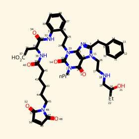 CCCn1c(=O)c2c(nc(Cc3ccccc3)n2CCNCC(O)CC)n(CCc2ccccc2NC(=O)C(CC(=O)O)NC(=O)CCCCCN2C(=O)C=CC2=O)c1=O